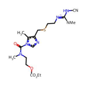 CCOC(=O)OCCN(C)C(=O)n1cnc(CSCC/N=C(\NC)NC#N)c1C